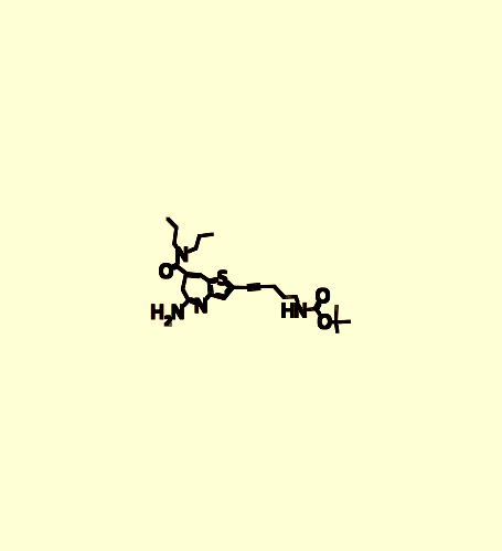 CCCN(CCC)C(=O)C1=Cc2sc(C#CCCCNC(=O)OC(C)(C)C)cc2N=C(N)C1